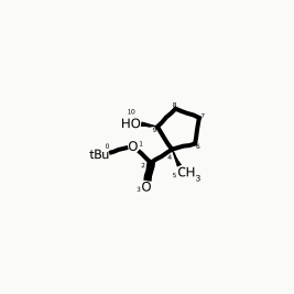 CC(C)(C)OC(=O)[C@@]1(C)CCC[C@@H]1O